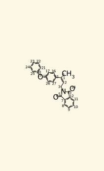 CC(=CCN1C(=O)c2ccccc2C1=O)c1ccc(Oc2ccccc2)cc1